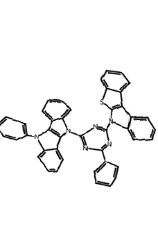 c1ccc(-c2nc(-n3c4ccccc4c4c5ccccc5sc43)nc(-n3c4ccccc4c4c3c3ccccc3n4-c3ccccc3)n2)cc1